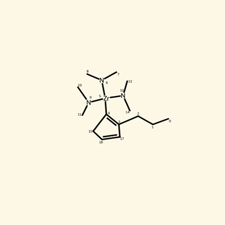 CCCC1=[C]([Zr]([N](C)C)([N](C)C)[N](C)C)CC=C1